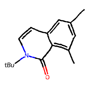 Cc1cc(C)c2c(=O)n(C(C)(C)C)ccc2c1